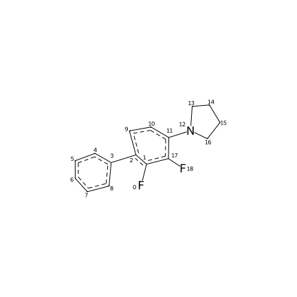 Fc1c(-c2ccccc2)ccc(N2CCCC2)c1F